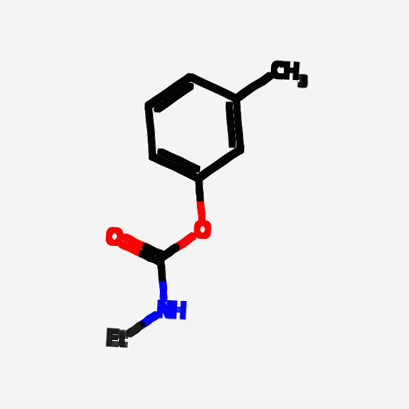 CCNC(=O)Oc1cccc(C)c1